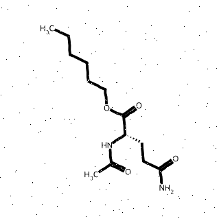 CCCCCCOC(=O)[C@H](CCC(N)=O)NC(C)=O